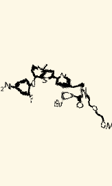 COCCOCCN(Cc1ccc(-c2cc3nccc(Oc4ccc([N+](=O)[O-])cc4F)c3s2)nc1)C(=O)OC(C)(C)C